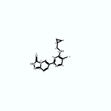 O=c1[nH]nc2ccc(-c3ncc(F)c(NCC4CC4)n3)cn12